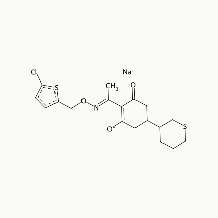 CC(=NOCc1ccc(Cl)s1)C1=C([O-])CC(C2CCCSC2)CC1=O.[Na+]